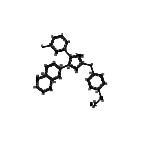 Cc1cccc(-c2[nH]c(Cc3ccc(OC(F)(F)F)cc3)nc2-c2ccc3ncccc3c2)n1